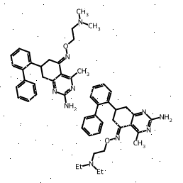 CCN(CC)CCON=C1CC(c2ccccc2-c2ccccc2)Cc2nc(N)nc(C)c21.Cc1nc(N)nc2c1C(=NOCCN(C)C)CC(c1ccccc1-c1ccccc1)C2